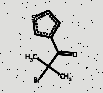 CC(C)(Br)C(=O)c1ccsc1